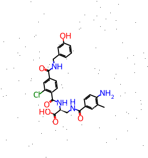 Cc1cc(C(=O)NC[C@H](NC(=O)c2ccc(C(=O)NCc3cccc(O)c3)cc2Cl)C(=O)O)ccc1N